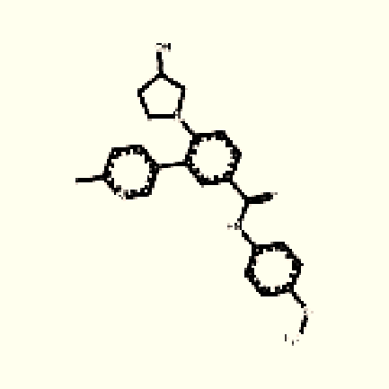 Cc1ccc(-c2cc(C(=O)Nc3ccc(OC(F)(F)F)cc3)ccc2N2CCC(O)C2)cn1